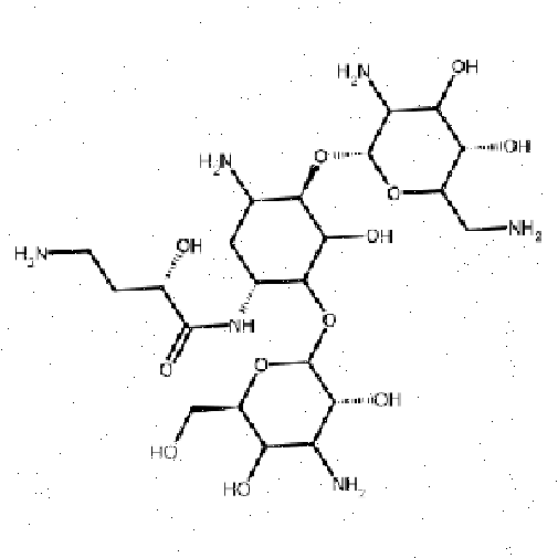 NCC[C@H](O)C(=O)N[C@@H]1CC(N)[C@@H](O[C@H]2OC(CN)[C@@H](O)C(O)C2N)C(O)C1OC1O[C@H](CO)C(O)C(N)[C@H]1O